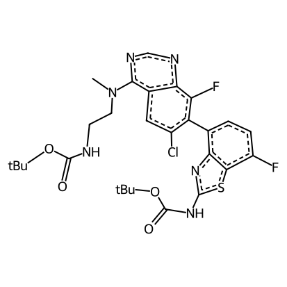 CN(CCNC(=O)OC(C)(C)C)c1ncnc2c(F)c(-c3ccc(F)c4sc(NC(=O)OC(C)(C)C)nc34)c(Cl)cc12